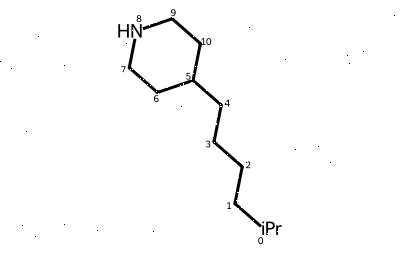 CC(C)CCCCC1CCNCC1